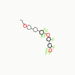 CCCCOC1CCC(C2CCC(c3cc(F)c(C(F)(F)Oc4ccc(-c5ccc(OC(F)(F)F)c(F)c5)c(F)c4)c(F)c3)CC2)CC1